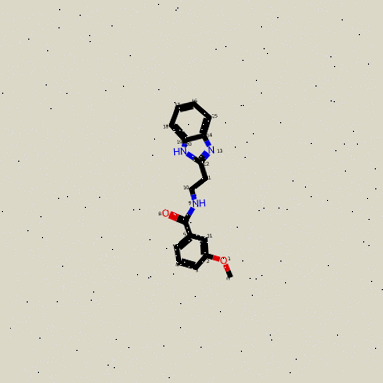 COc1cccc(C(=O)NCCc2nc3ccccc3[nH]2)c1